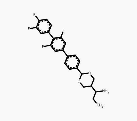 CCC(N)C1COC(c2ccc(-c3cc(F)c(-c4ccc(F)c(F)c4)c(F)c3)cc2)OC1